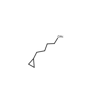 CC(=O)OCCCCC1CC1